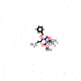 C=CCC(OCc1ccccc1)[C@@H]1COC(C)(C)N1C(=O)OC(C)(C)C